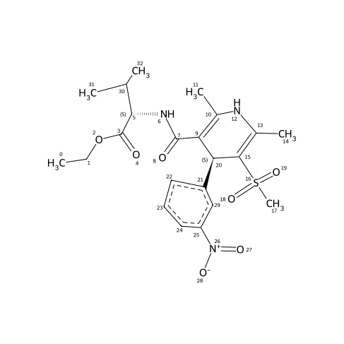 CCOC(=O)[C@@H](NC(=O)C1=C(C)NC(C)=C(S(C)(=O)=O)[C@H]1c1cccc([N+](=O)[O-])c1)C(C)C